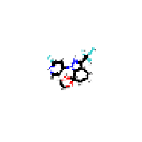 Fc1cc(-n2nc(C(F)(F)F)c3c2C2(CCC3)OCCO2)ccn1